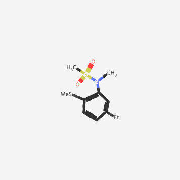 CCc1ccc(SC)c(N(C)S(C)(=O)=O)c1